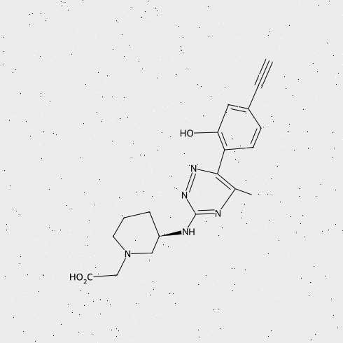 C#Cc1ccc(-c2nnc(N[C@@H]3CCCN(CC(=O)O)C3)nc2C)c(O)c1